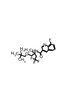 CC(C)(C)COCC(C)(CC(F)(F)F)NC(=O)c1cnc2c(F)cccc2c1